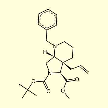 C=CC[C@]12CCCN(Cc3ccccc3)[C@H]1CN(C(=O)OC(C)(C)C)[C@@H]2C(=O)OC